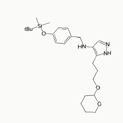 CC(C)(C)[Si](C)(C)Oc1ccc(CNc2cn[nH]c2CCCOC2CCCCO2)cc1